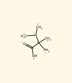 CN(C)C(C)(P)C(=O)O